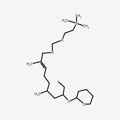 C/C(=C\CCC(C)CC(CI)OC1CCCCO1)COCOCC[Si](C)(C)C